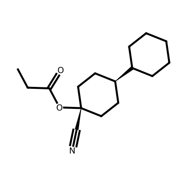 CCC(=O)O[C@]1(C#N)CC[C@@H](C2CCCCC2)CC1